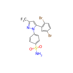 NS(=O)(=O)c1ccc(-n2nc(C(F)(F)F)cc2-c2cc(Br)ccc2Br)cc1